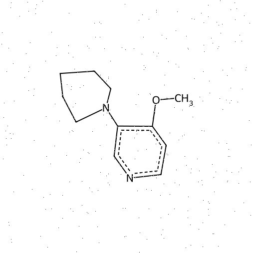 COc1ccncc1N1CCCCC1